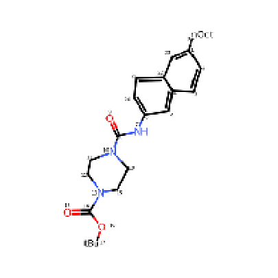 CCCCCCCCc1ccc2cc(NC(=O)N3CCN(C(=O)OC(C)(C)C)CC3)ccc2c1